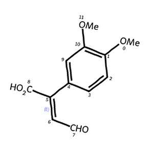 COc1ccc(/C(=C\C=O)C(=O)O)cc1OC